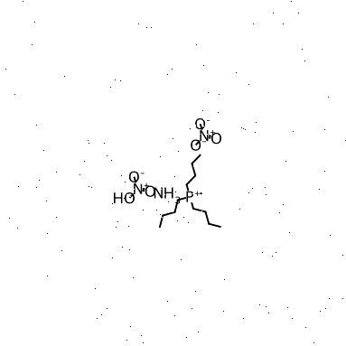 CCCC[P+](C)(CCCC)CCCC.N.O=[N+]([O-])O.O=[N+]([O-])[O-]